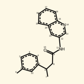 Cc1cccc(C(C)CC(=O)Nc2cnc3ccccc3c2)c1